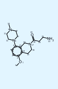 COc1ccc(N2CCN(C)CC2)c2c1CCN(C(=O)CCN)C2